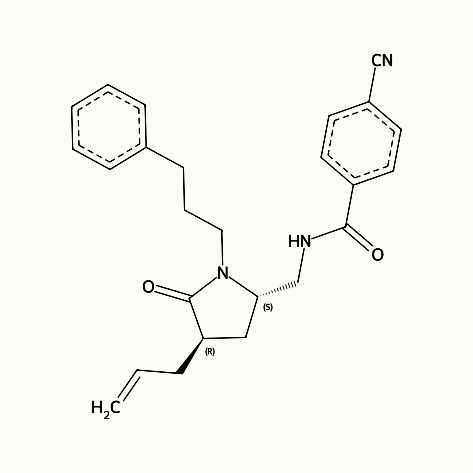 C=CC[C@@H]1C[C@@H](CNC(=O)c2ccc(C#N)cc2)N(CCCc2ccccc2)C1=O